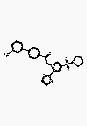 O=C(Cn1cc(S(=O)(=O)N2CCCC2)cc1-c1ncco1)c1ccc(-c2cccc(C(F)(F)F)c2)cc1